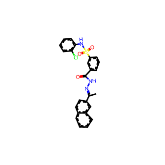 CC(=NNC(=O)c1cccc(S(=O)(=O)Nc2ccccc2Cl)c1)c1ccc2ccccc2c1